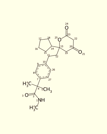 CNC(=O)C(C)(C)c1ccc(CCC2(C3CCCC3)CC(=O)CC(=O)O2)cc1